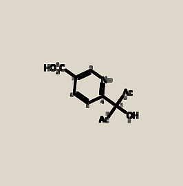 CC(=O)C(O)(C(C)=O)c1ccc(C(=O)O)cn1